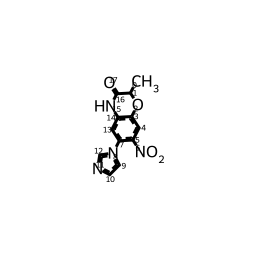 CC1Oc2cc([N+](=O)[O-])c(-n3ccnc3)cc2NC1=O